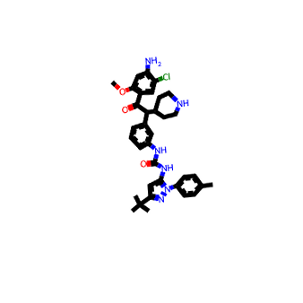 COc1cc(N)c(Cl)cc1C(=O)C(c1cccc(NC(=O)Nc2cc(C(C)(C)C)nn2-c2ccc(C)cc2)c1)C1CCNCC1